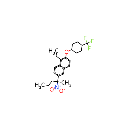 CCCC(C)(c1ccc2c(CC)c(OC3CCC(C(F)(F)F)CC3)ccc2c1)[N+](=O)[O-]